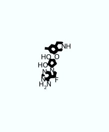 Cc1cc2c(c(OC3CC(n4cc(F)c5c(N)ncnc54)[C@H](O)[C@@H]3O)c1)CNCC2